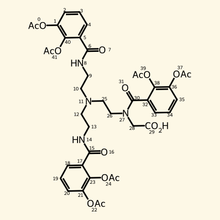 CC(=O)Oc1cccc(C(=O)NCCN(CCNC(=O)c2cccc(OC(C)=O)c2OC(C)=O)CCN(CC(=O)O)C(=O)c2cccc(OC(C)=O)c2OC(C)=O)c1OC(C)=O